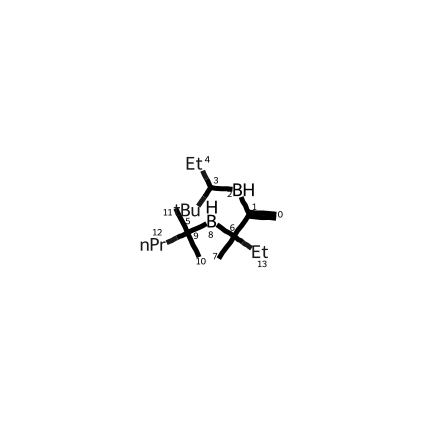 C=C(BC(CC)C(C)(C)C)C(C)(BC(C)(C)CCC)CC